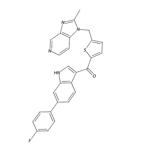 Cc1nc2cnccc2n1Cc1ccc(C(=O)c2c[nH]c3cc(-c4ccc(F)cc4)ccc23)s1